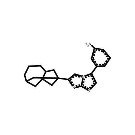 Nc1cccc(-c2csc3nc(C45CC6CCCC(C4)C(C6)C5)cn23)c1